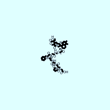 CC[C@@]1(O)C(=O)OCc2c1cc1n(c2=O)Cc2c-1nc1cc(C)c(C)c3c1c2[C@@H](N(C)C(=O)[C@H](C)OCNC(=O)CNC(=O)[C@H](Cc1ccccc1)NC(=O)CNC(=O)CNC(=O)C(CNCC(=O)O)N1C(=O)C=CC1=O)CC3